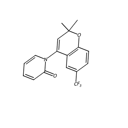 CC1(C)C=C(n2ccccc2=O)c2cc(C(F)(F)F)ccc2O1